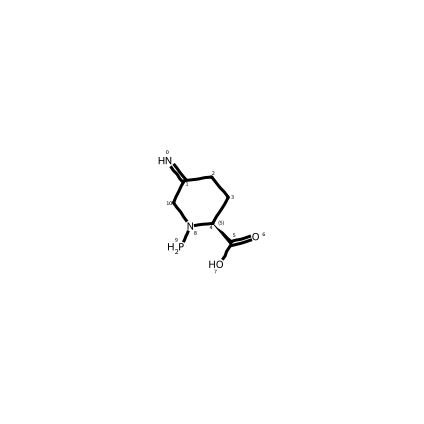 N=C1CC[C@@H](C(=O)O)N(P)C1